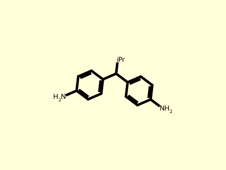 CC(C)C(c1ccc(N)cc1)c1ccc(N)cc1